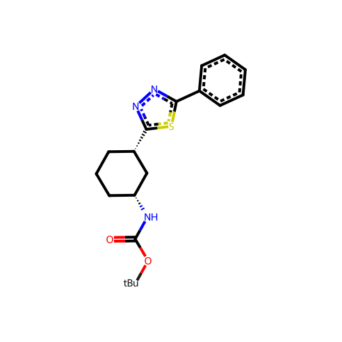 CC(C)(C)OC(=O)N[C@@H]1CCC[C@H](c2nnc(-c3ccccc3)s2)C1